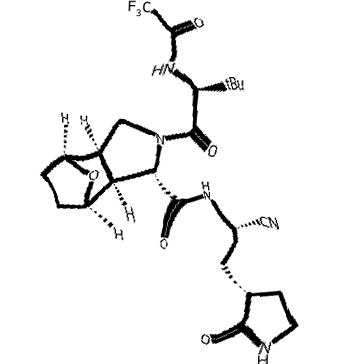 CC(C)(C)[C@H](NC(=O)C(F)(F)F)C(=O)N1C[C@H]2[C@@H]([C@H]1C(=O)N[C@H](C#N)C[C@@H]1CCNC1=O)[C@H]1CC[C@@H]2O1